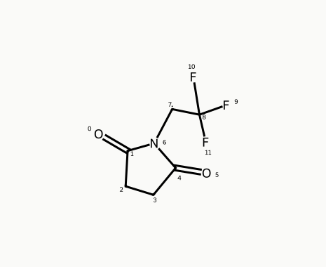 O=C1CCC(=O)N1[CH]C(F)(F)F